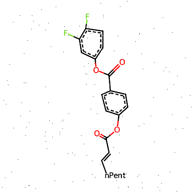 CCCCCC=CC(=O)Oc1ccc(C(=O)Oc2ccc(F)c(F)c2)cc1